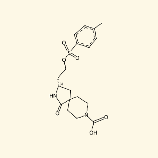 Cc1ccc(S(=O)(=O)OCC[C@@H]2CC3(CCN(C(=O)O)CC3)C(=O)N2)cc1